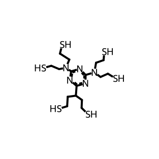 SCCC(CCS)c1nc(N(CCS)CCS)nc(N(CCS)CCS)n1